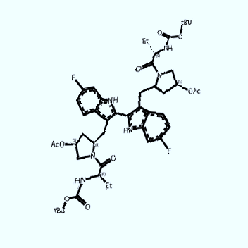 CC[C@H](NC(=O)OC(C)(C)C)C(=O)N1C[C@@H](OC(C)=O)CC1Cc1c(-c2[nH]c3cc(F)ccc3c2C[C@@H]2C[C@H](OC(C)=O)CN2C(=O)[C@@H](CC)NC(=O)OC(C)(C)C)[nH]c2cc(F)ccc12